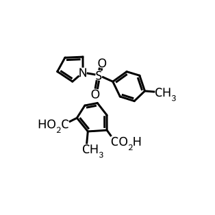 Cc1c(C(=O)O)cccc1C(=O)O.Cc1ccc(S(=O)(=O)n2cccc2)cc1